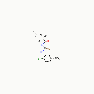 C=C(C)CC(CC)(CC)C(=O)NC(=S)Nc1cc([N+](=O)[O-])ccc1Cl